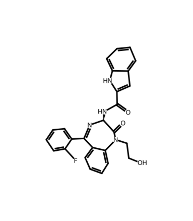 O=C(N[C@@H]1N=C(c2ccccc2F)c2ccccc2N(CCO)C1=O)c1cc2ccccc2[nH]1